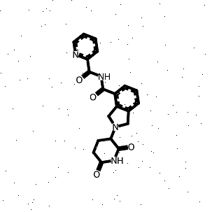 O=C1CCC(N2Cc3cccc(C(=O)NC(=O)c4ccccn4)c3C2)C(=O)N1